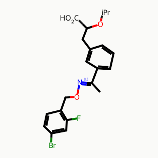 C/C(=N\OCc1ccc(Br)cc1F)c1cccc(CC(OC(C)C)C(=O)O)c1